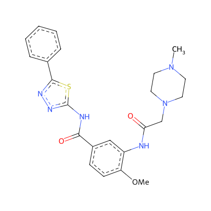 COc1ccc(C(=O)Nc2nnc(-c3ccccc3)s2)cc1NC(=O)CN1CCN(C)CC1